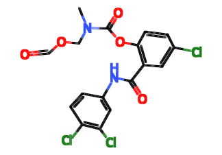 CN(COC=O)C(=O)Oc1ccc(Cl)cc1C(=O)Nc1ccc(Cl)c(Cl)c1